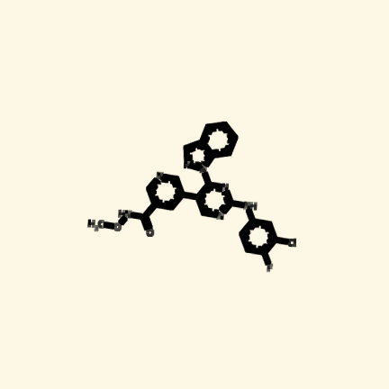 CONC(=O)c1cncc(-c2cnc(Nc3ccc(F)c(Cl)c3)nc2-n2ncc3ccccc32)c1